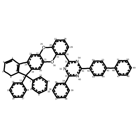 C1=CC2=C(CC1)C(c1ccccc1)(c1ccccc1)c1cc3c(cc12)Oc1cccc(-c2nc(-c4ccccc4)nc(-c4ccc(-c5ccccc5)cc4)n2)c1O3